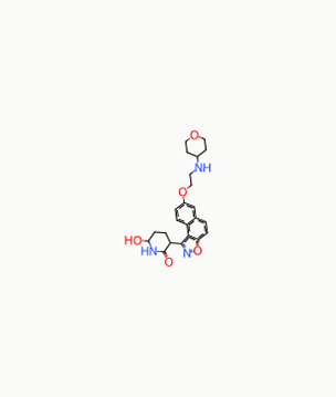 O=C1NC(O)CCC1c1noc2ccc3cc(OCCNC4CCOCC4)ccc3c12